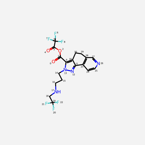 O=C(OC(=O)C(F)(F)F)c1c2c(nn1CCCNCC(F)(F)F)-c1ccncc1CC2